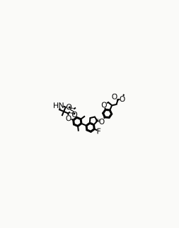 COC(=O)CC1COc2cc(O[C@@H]3CCc4c(-c5c(C)cc(OC(C6(C)CNC6)S(C)(=O)=O)cc5C)ccc(F)c43)ccc21